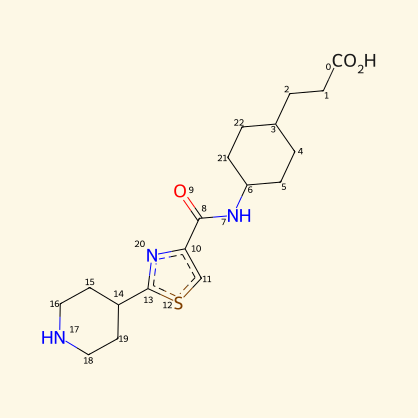 O=C(O)CCC1CCC(NC(=O)c2csc(C3CCNCC3)n2)CC1